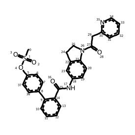 CS(=O)(=O)Oc1ccc(-c2ccccc2C(=O)Nc2ccc3c(c2)CCN3C(=O)Cc2ccccn2)cc1